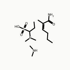 CCC(N(C)C)S(=O)(=O)O.CCCC=C(C)C(N)=O.CNC